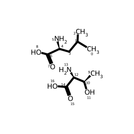 CC(C)C[C@H](N)C(=O)O.C[C@@H](O)[C@H](N)C(=O)O